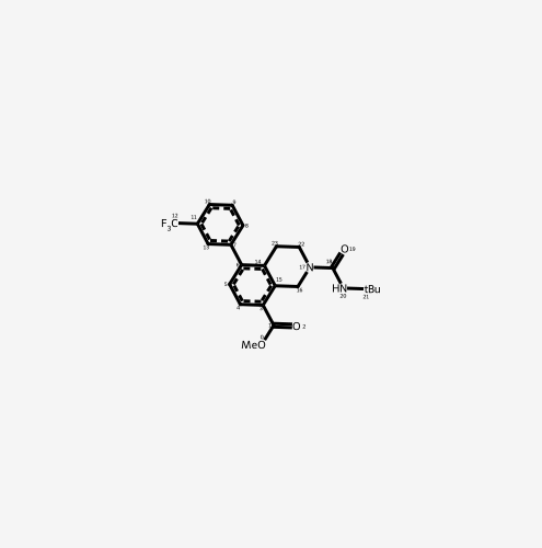 COC(=O)c1ccc(-c2cccc(C(F)(F)F)c2)c2c1CN(C(=O)NC(C)(C)C)CC2